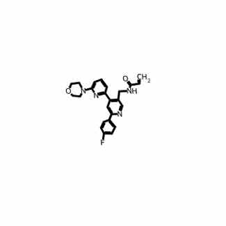 C=CC(=O)NCc1cnc(-c2ccc(F)cc2)cc1-c1cccc(N2CCOCC2)n1